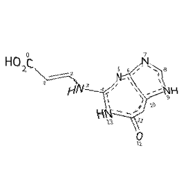 O=C(O)C=CNc1nc2nc[nH]c2c(=O)[nH]1